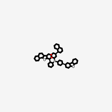 c1cc(-c2cccc3ccccc23)cc(N(c2ccc(-c3ccc4oc5ccccc5c4c3)cc2)c2ccccc2-c2cccc3c2oc2c4ccccc4ccc32)c1